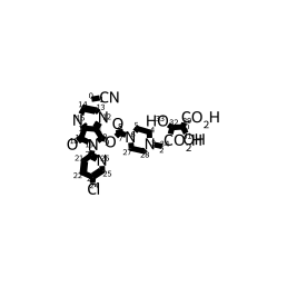 CC#N.CN1CCN(C(=O)OC2c3nccnc3C(=O)N2c2ccc(Cl)cn2)CC1.O=C(O)C(O)C(O)C(=O)O